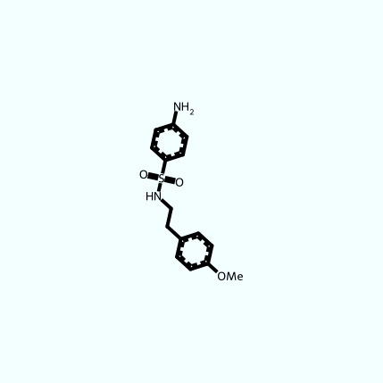 COc1ccc(CCNS(=O)(=O)c2ccc(N)cc2)cc1